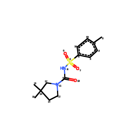 Cc1ccc(S(=O)(=O)NC(=O)N2[CH]CC(C)(C)C2)cc1